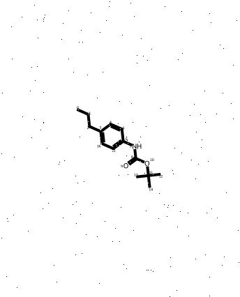 CCCc1ccc(NC(=O)OC(C)(C)C)cc1